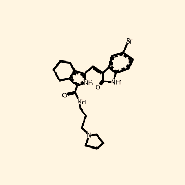 O=C1Nc2ccc(Br)cc2/C1=C/c1[nH]c(C(=O)NCCCN2CCCC2)c2c1CCCC2